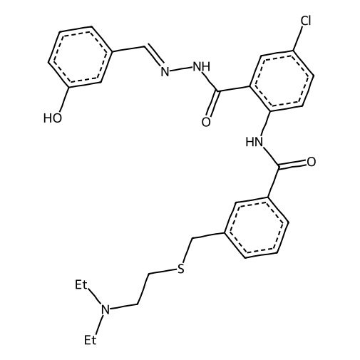 CCN(CC)CCSCc1cccc(C(=O)Nc2ccc(Cl)cc2C(=O)NN=Cc2cccc(O)c2)c1